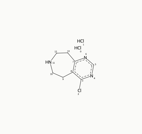 Cl.Cl.Clc1ncnc2c1CCNCC2